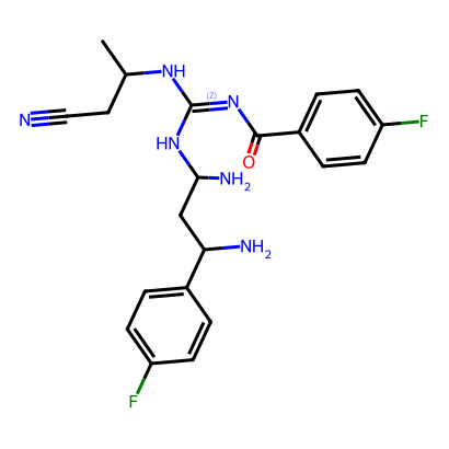 CC(CC#N)N/C(=N/C(=O)c1ccc(F)cc1)NC(N)CC(N)c1ccc(F)cc1